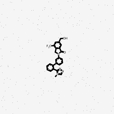 Cn1cnnc1-c1ccccc1-c1cccc(N2Cc3c(cc(CO)cc3C(F)(F)F)C2=O)c1